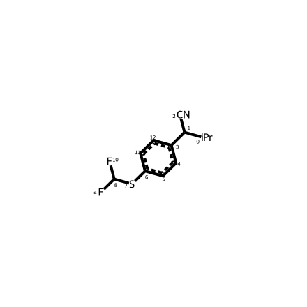 CC(C)C(C#N)c1ccc(SC(F)F)cc1